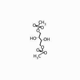 CS(=O)(=O)OC[C@@H](O)[C@H](O)COS(C)(=O)=O